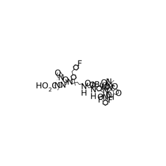 C[C@@H]1COCCN1C[C@H]1CN(C(=O)O)[C@H](C)CN1CC(=O)N1CC(C)(CCCNC(=O)CC(=O)Nc2ccc3c(c2)[C@@H](C(=O)Nc2c(F)cccc2F)N(C(=O)[C@@H](NC(=O)[C@H](C)N(C)C(=O)OC(C)(C)C)C2CCOCC2)C3)c2ccc(Cc3ccc(F)cc3)cc21